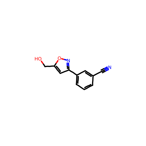 N#Cc1cccc(-c2cc(CO)on2)c1